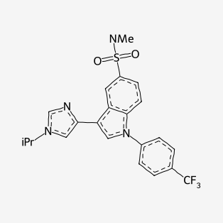 CNS(=O)(=O)c1ccc2c(c1)c(-c1cn(C(C)C)cn1)cn2-c1ccc(C(F)(F)F)cc1